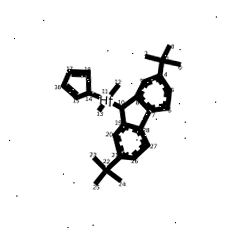 CC(C)(C)c1ccc2c(c1)[CH]([Hf]([CH3])([CH3])[CH]1C=CC=C1)c1cc(C(C)(C)C)ccc1-2